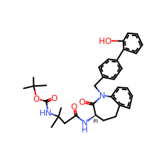 CC(C)(CC(=O)N[C@@H]1CCc2ccccc2N(Cc2ccc(-c3ccccc3O)cc2)C1=O)NC(=O)OC(C)(C)C